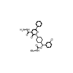 CC(C)(C)NC(=O)OC(c1cccc(Cl)c1)C1CCC(n2nc(-c3ccccc3)cc(C(=O)NN)c2=O)CC1